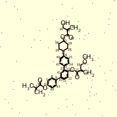 C=C(C)C(=O)Oc1ccc(-c2ccc(OC(=O)C(=C)COC)c(-c3ccc(C4CCC(OC(=O)C(=C)CO)CC4)cc3)c2)cc1